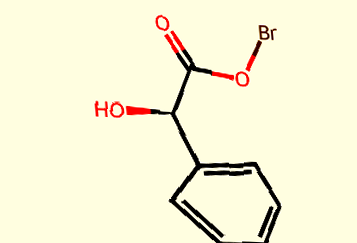 O=C(OBr)[C@H](O)c1ccccc1